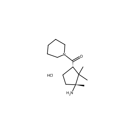 CC1(C)[C@@H](C(=O)N2CCCCC2)CC[C@@]1(C)N.Cl